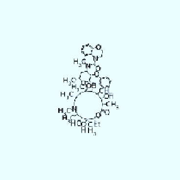 CC[C@H]1OC(=O)[C@H](C)[C@@H](O)[C@H](C)[C@@H](O[C@@H]2O[C@H](C)C[C@H](N(C)C(=O)N3CCOc4ccccc43)[C@H]2Oc2ccccc2)[C@](C)(O)C[C@@H](C)CN(C)[C@H](C)[C@@H](O)[C@]1(C)O